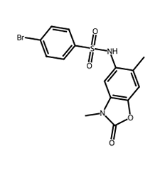 Cc1cc2oc(=O)n(C)c2cc1NS(=O)(=O)c1ccc(Br)cc1